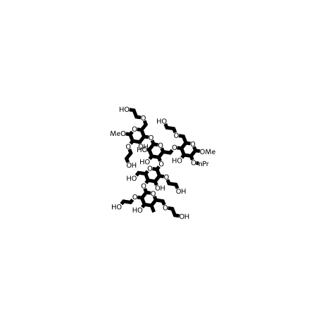 CCCOC1C(OC)OC(COCCO)C(OCC2OC(OC3C(COCCO)OC(OC)C(OCCO)C3O)C(O)C(O)C2OC2OC(CO)C(OC3OC(COCCO)C(C)C(O)C3OCCO)C(O)C2OCCO)C1O